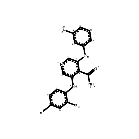 NC(=O)c1c(Nc2ccc(I)cc2F)cncc1Oc1cccc(N)c1